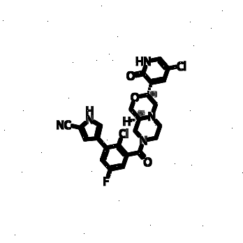 N#Cc1cc(-c2cc(F)cc(C(=O)N3CCN4C[C@@H](c5cc(Cl)c[nH]c5=O)OC[C@@H]4C3)c2Cl)c[nH]1